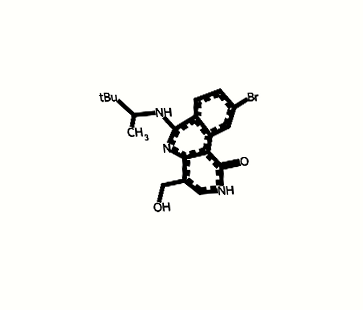 CC(Nc1nc2c(CO)c[nH]c(=O)c2c2cc(Br)ccc12)C(C)(C)C